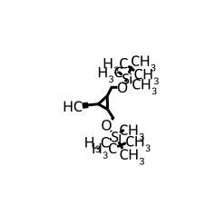 C#CC1C(CO[Si](C)(C)C(C)(C)C)C1CO[Si](C)(C)C(C)(C)C